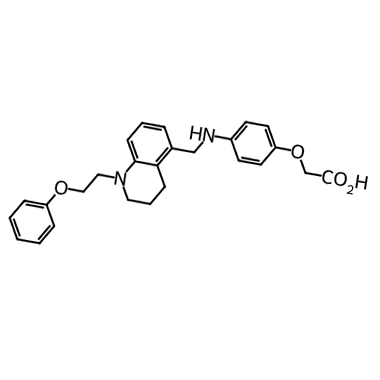 O=C(O)COc1ccc(NCc2cccc3c2CCCN3CCOc2ccccc2)cc1